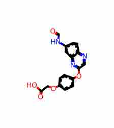 O=CNc1ccc2ncc(Oc3ccc(OCC(=O)O)cc3)nc2c1